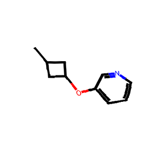 CC1CC(Oc2cccnc2)C1